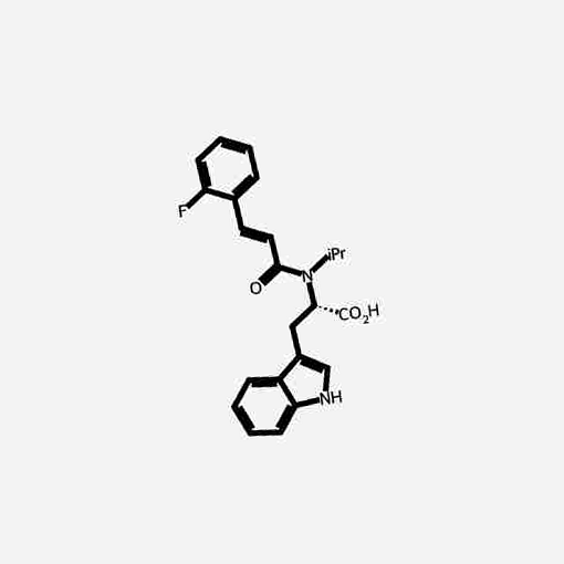 CC(C)N(C(=O)C=Cc1ccccc1F)[C@@H](Cc1c[nH]c2ccccc12)C(=O)O